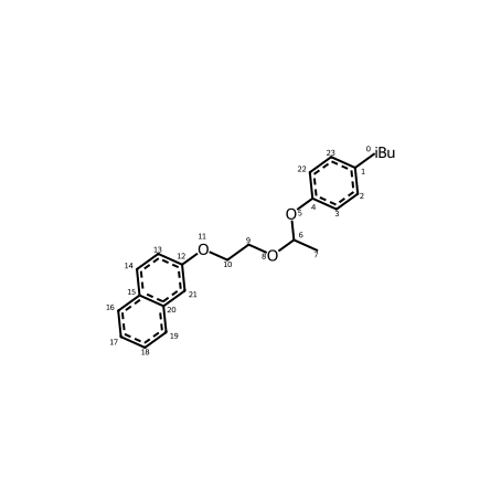 CCC(C)c1ccc(OC(C)OCCOc2ccc3ccccc3c2)cc1